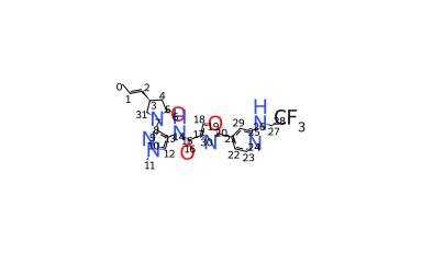 C/C=C/[C@H]1CC(=O)N(c2nn(C)cc2NC(=O)c2coc(-c3ccnc(NCC(F)(F)F)c3)n2)C1